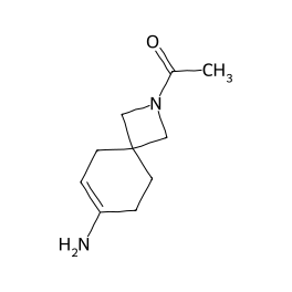 CC(=O)N1CC2(CC=C(N)CC2)C1